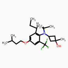 C=C(C)N(c1c(C(C)CC)cc(OCCC(C)C)cc1C(F)(F)F)C1CC(C)(O)C1